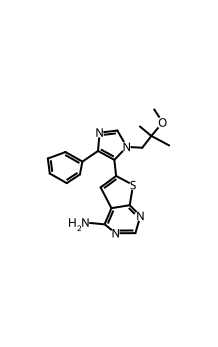 COC(C)(C)Cn1cnc(-c2ccccc2)c1-c1cc2c(N)ncnc2s1